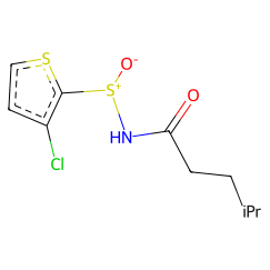 CC(C)CCC(=O)N[S+]([O-])c1sccc1Cl